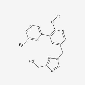 CCOc1ncc(Cn2cnc(CO)n2)cc1-c1cccc(C(F)(F)F)c1